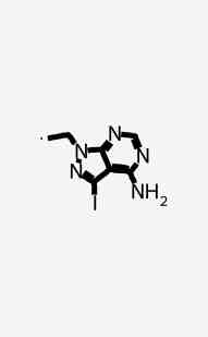 [CH2]Cn1nc(I)c2c(N)ncnc21